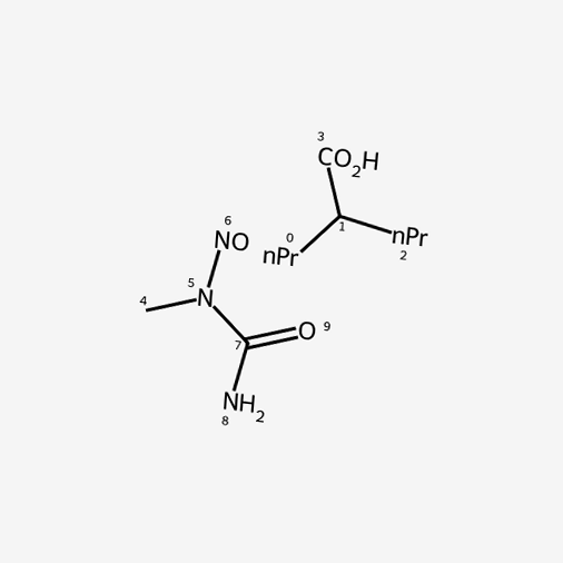 CCCC(CCC)C(=O)O.CN(N=O)C(N)=O